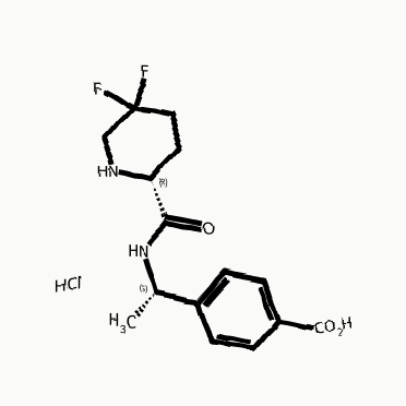 C[C@H](NC(=O)[C@H]1CCC(F)(F)CN1)c1ccc(C(=O)O)cc1.Cl